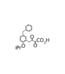 CC(C)Oc1ccc(Cc2ccccc2)cc1CC(=O)C(=O)C(=O)O